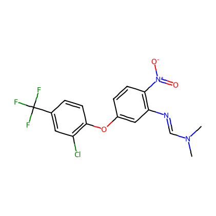 CN(C)C=Nc1cc(Oc2ccc(C(F)(F)F)cc2Cl)ccc1[N+](=O)[O-]